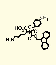 Cc1ccc(S(=O)(=O)N(C(=O)OCC2c3ccccc3-c3ccccc32)[C@@H](CCCCN)C(=O)O)cc1